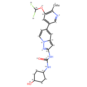 COc1ncc(-c2ccn3nc(NC(=O)NC4CCC(O)CC4)cc3c2)cc1OC(F)F